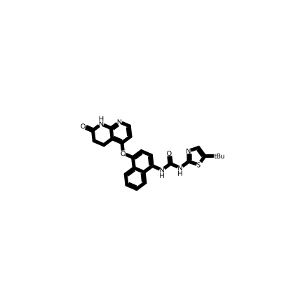 CC(C)(C)c1cnc(NC(=O)Nc2ccc(Oc3ccnc4c3CCC(=O)N4)c3ccccc23)s1